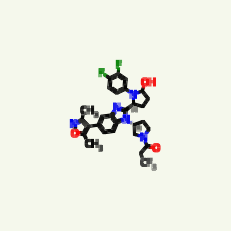 Cc1noc(C)c1-c1ccc2c(c1)nc([C@@H]1CCC(O)N1c1ccc(F)c(F)c1)n2[C@@H]1CCN(C(=O)CC(F)(F)F)C1